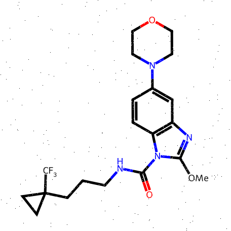 COc1nc2cc(N3CCOCC3)ccc2n1C(=O)NCCCC1(C(F)(F)F)CC1